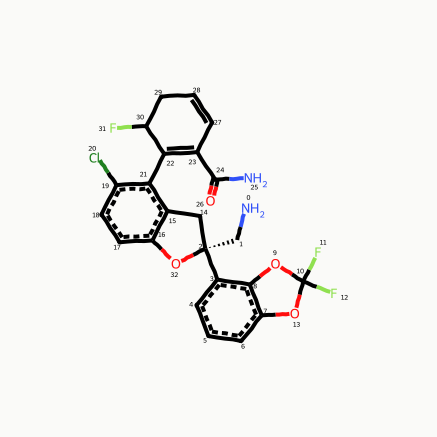 NC[C@@]1(c2cccc3c2OC(F)(F)O3)Cc2c(ccc(Cl)c2C2=C(C(N)=O)C=CCC2F)O1